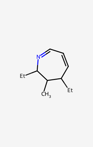 CCC1C=CC=NC(CC)C1C